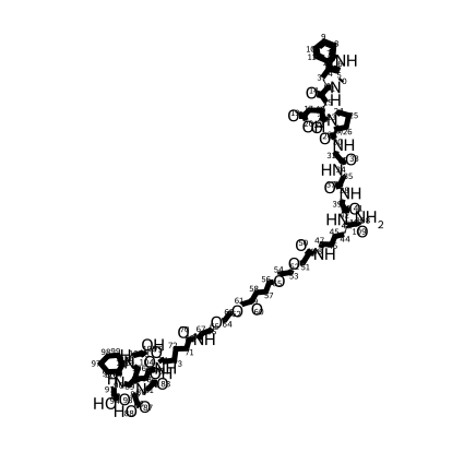 CN[C@@H](Cc1c[nH]c2ccccc12)C(=O)C[C@@H](CC(=O)O)C(=O)N1CCC[C@H]1C(=O)NCC(=O)NCC(=O)NCC(=O)N[C@@H](CCCCNC(=O)COCCOCCCC(=O)COCCOCCNC(=O)CCCC(=O)NCCC1(N(CC(=O)O)CC(=O)O)CN(CC(=O)O)[C@@H]2CCCC[C@H]2N(CC(=O)O)C1)C(N)=O